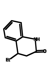 CCC1CC(=O)Nc2ccccc21